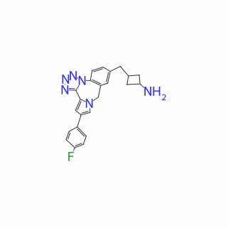 NC1CC(Cc2ccc3c(c2)Cn2cc(-c4ccc(F)cc4)cc2-c2nnnn2-3)C1